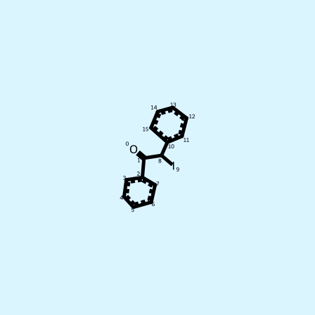 O=C(c1ccccc1)C(I)c1ccccc1